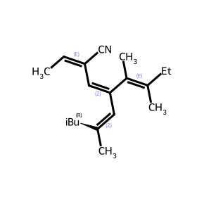 C\C=C(C#N)/C=C(/C=C(/C)[C@H](C)CC)C(\C)=C(/C)CC